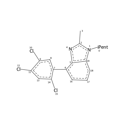 CCCC(C)n1c(C)nc2c(-c3cc(Cl)c(Cl)cc3Cl)cccc21